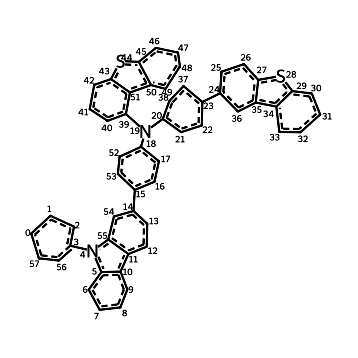 c1ccc(-n2c3ccccc3c3ccc(-c4ccc(N(c5ccc(-c6ccc7sc8ccccc8c7c6)cc5)c5cccc6sc7ccccc7c56)cc4)cc32)cc1